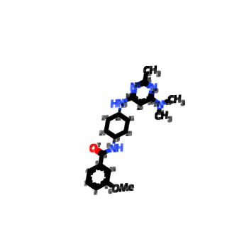 COc1cccc(C(=O)N[C@H]2CC[C@@H](Nc3cc(N(C)C)nc(C)n3)CC2)c1